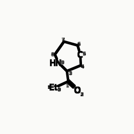 C[C]C(=O)C1CCCCCN1